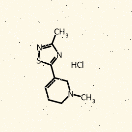 Cc1nsc(C2=CCCN(C)C2)n1.Cl